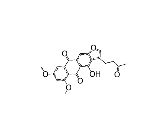 COc1cc(OC)c2c(c1)C(=O)c1cc3occ(CCC(C)=O)c3c(O)c1C2=O